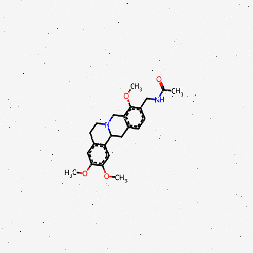 COc1cc2c(cc1OC)C1Cc3ccc(CNC(C)=O)c(OC)c3CN1CC2